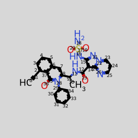 C#Cc1cccc2cc([C@H](C)NC(=O)c3c(NS(N)(=O)=O)nn4cccnc34)n(-c3ccccc3)c(=O)c12